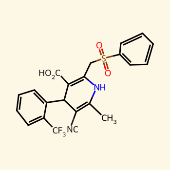 CC1=C(C#N)C(c2ccccc2C(F)(F)F)C(C(=O)O)=C(CS(=O)(=O)c2ccccc2)N1